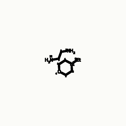 CCN1CCOCC1.NCCN